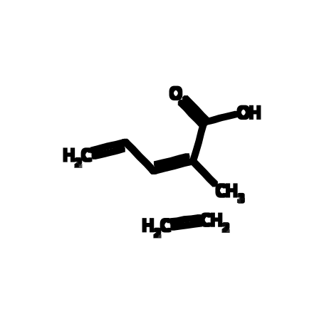 C=C.C=CC=C(C)C(=O)O